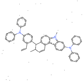 C=Cc1cc(N(c2ccccc2)c2ccccc2)ccc1C1c2ccc3c(c2C=CC1C)c1ccc(N(c2ccccc2)c2ccccc2)cc1n3C